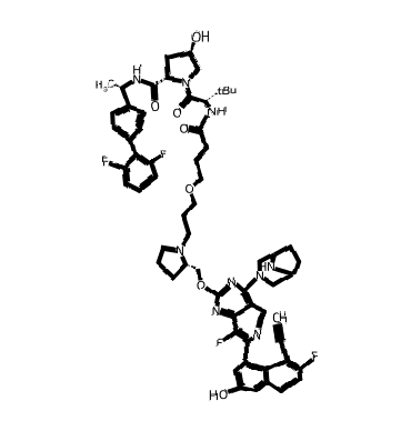 C#Cc1c(F)ccc2cc(O)cc(-c3ncc4c(N5CC6CCC(C5)N6)nc(OC[C@@H]5CCCN5CCCOCCCC(=O)N[C@H](C(=O)N5C[C@H](O)C[C@H]5C(=O)N[C@@H](C)c5ccc(-c6c(F)cccc6F)cc5)C(C)(C)C)nc4c3F)c12